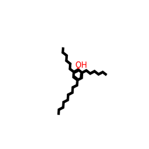 CCCCCCCCCc1cc(CCCCCC)c(O)c(CCCCCC)c1